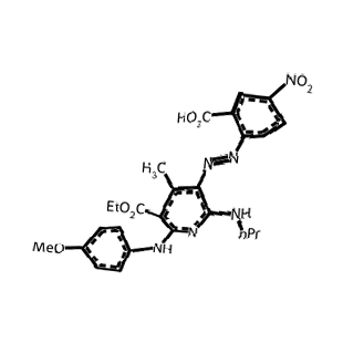 CCCNc1nc(Nc2ccc(OC)cc2)c(C(=O)OCC)c(C)c1N=Nc1ccc([N+](=O)[O-])cc1C(=O)O